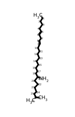 CCCCCC=CCC=CCCCCCCCCCC(N)CCCCCC(C)C